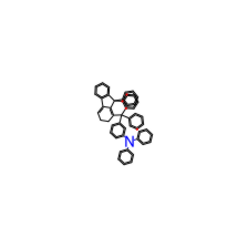 C1=C2C3=C(CC1)C(c1ccccc1)(c1cccc(N(c4ccccc4)c4ccccc4)c1)c1ccccc1C3(c1ccccc1)c1ccccc12